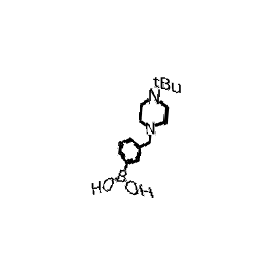 CC(C)(C)N1CCN(Cc2cccc(B(O)O)c2)CC1